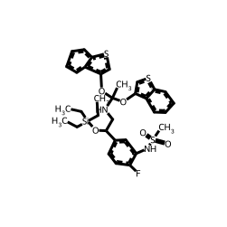 CC[Si](CC)(CC)OC(CNC(C)(Oc1csc2ccccc12)Oc1csc2ccccc12)c1ccc(F)c(NS(C)(=O)=O)c1